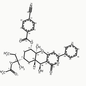 CCC(C)(OC(C)=O)[C@@H]1C[C@H](OC(=O)c2ccc(C#N)cc2)[C@@]2(C)Oc3cc(-c4cccnc4)oc(=O)c3[C@@H](O)[C@@H]2C1